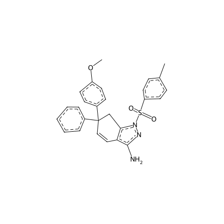 COc1ccc(C2(c3ccccc3)C=Cc3c(N)nn(S(=O)(=O)c4ccc(C)cc4)c3C2)cc1